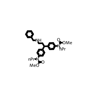 CCCN(C(=O)OC)c1ccc(C(CCNCc2ccccc2)c2ccc(N(CCC)C(=O)OC)cc2)cc1